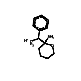 CC(c1cc[c]cc1)C1([SiH3])CCCCO1.[H+]